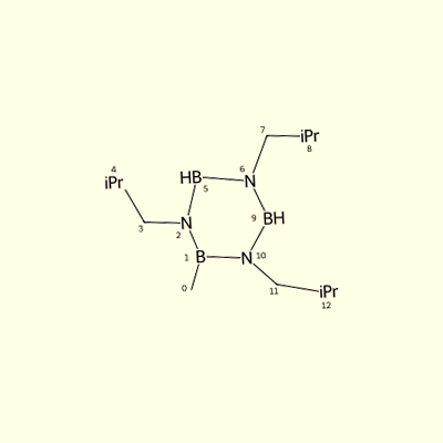 CB1N(CC(C)C)BN(CC(C)C)BN1CC(C)C